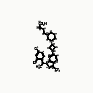 CC(c1ccc(Cl)cc1Cl)n1nc(C(F)(F)F)c2ncc(N3CC([C@H]4CCCN(CCNC(=O)O)C4)C3)nc21